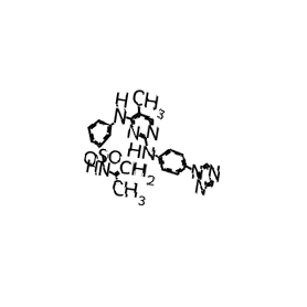 C=C(C)NS(=O)(=O)c1cccc(Nc2nc(Nc3ccc(-n4cncn4)cc3)ncc2C)c1